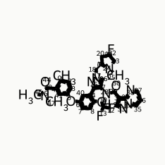 Cc1ccc(Oc2ccc(OC(F)F)c(-c3nn(C[C@H]4C[C@H](F)CN4C)cc3NC(=O)c3cnn4cccnc34)c2)cc1C(=O)N(C)C